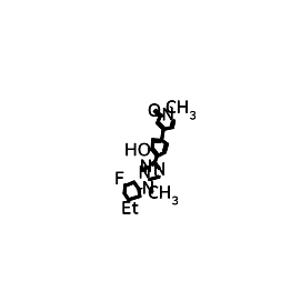 CC[C@H]1C[C@@H](F)C[C@H](N(C)c2cnc(-c3ccc(-c4ccn(C)c(=O)c4)cc3O)nn2)C1